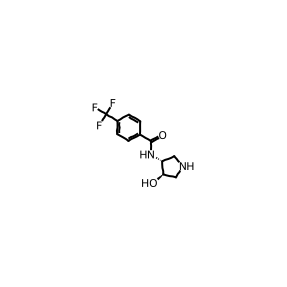 O=C(N[C@@H]1CNC[C@H]1O)c1ccc(C(F)(F)F)cc1